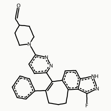 O=CC1CCN(c2ccc(C3=C(c4ccccc4)CCCc4c3ccc3[nH]nc(F)c43)nn2)CC1